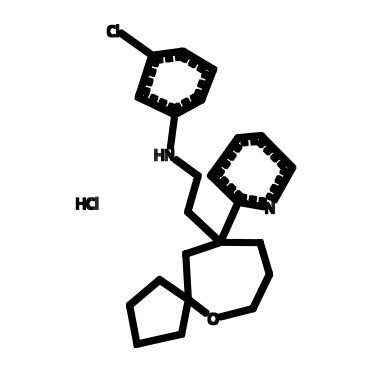 Cl.Clc1cccc(NCCC2(c3ccccn3)CCCOC3(CCCC3)C2)c1